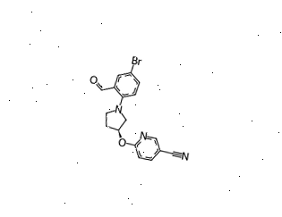 N#Cc1ccc(O[C@H]2CCN(c3ccc(Br)cc3C=O)C2)nc1